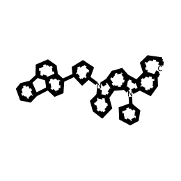 c1ccc(-n2c3ccc4ccccc4c3c3ccc4c(c5ccccc5n4-c4cccc(-c5ccc6c7c(cccc57)-c5ccccc5-6)c4)c32)cc1